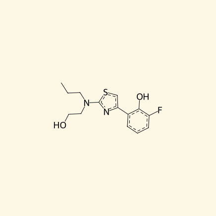 CCCN(CCO)c1nc(-c2cccc(F)c2O)cs1